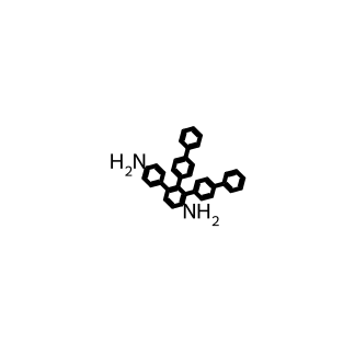 Nc1ccc(-c2ccc(N)c(-c3ccc(-c4ccccc4)cc3)c2-c2ccc(-c3ccccc3)cc2)cc1